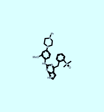 COc1cc(N2CCN(C(C)C)CC2)ccc1Nc1nc(Cc2ccccc2P(C)(C)=O)c2cc[nH]c2n1